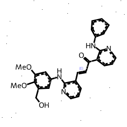 COc1cc(Nc2ncccc2/C=C/C(=O)c2cccnc2Nc2ccccc2)cc(CO)c1OC